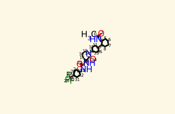 CC(=O)Nc1ccccc1-c1ccc(N2CCC[C@@H](NC(=O)Nc3ccc(C(F)(F)F)cc3)C2=O)cc1